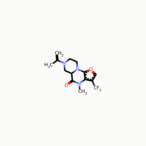 C=C(C)N1CCN2c3occ(C(F)(F)F)c3N(C)C(=O)C2C1